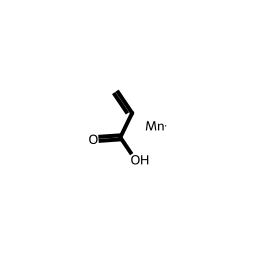 C=CC(=O)O.[Mn]